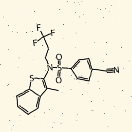 Cc1c(N(CCC(F)(F)F)S(=O)(=O)c2ccc(C#N)cc2)sc2ccccc12